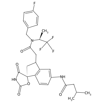 CC(C)CC(=O)Nc1ccc2c(c1)C(CC(=O)N(Cc1ccc(F)cc1)[C@@H](C)C(F)(F)F)C[C@@]21OC(=O)NC1=O